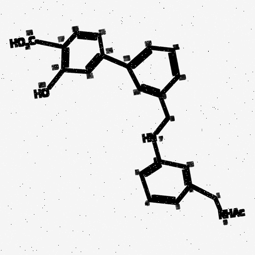 CC(=O)NCc1cccc(NCc2cccc(-c3ccc(C(=O)O)c(O)c3)c2)c1